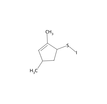 CC1=CC(C)CC1SI